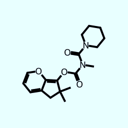 CN(C(=O)OC1=C2OC=CC=C2CC1(C)C)C(=O)N1CCCCC1